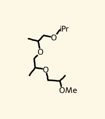 [CH2]C(C)OCC(C)OCC(C)OCC(C)OC